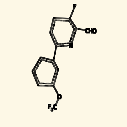 O=Cc1nc(-c2cccc(OC(F)(F)F)c2)ccc1F